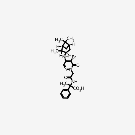 C[C@@H]1[C@H]2C[C@@H](C[C@H]1Nc1cnn(CC(=O)NC(C)(C(=O)O)c3ccccc3)c(=O)c1Br)C2(C)C